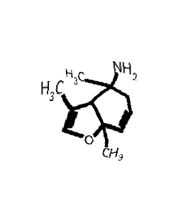 CC1=COC2(C)C=CCC(C)(N)C12